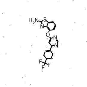 Nc1nc2c(Oc3cc(C4=CCC(C(F)(F)F)CC4)ncn3)cccc2s1